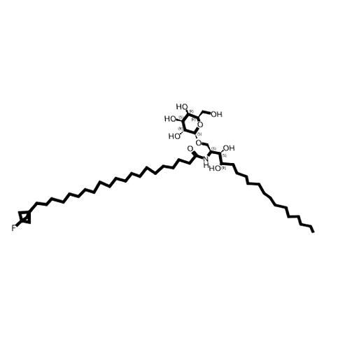 CCCCCCCCCCCCCC[C@@H](O)[C@@H](O)[C@H](CO[C@H]1O[C@H](CO)[C@H](O)[C@H](O)[C@H]1O)NC(=O)CCCCCCCCCCCCCCCCCCCCC12CC(F)(C1)C2